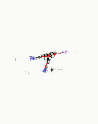 CCCCCCCC/C=C/CCCCCCCC(=O)OCC(COC(=O)CCCCCCC/C=C/CCCCCCCC)OC(=O)CCCCCCC/C=C/CCCCCCCC.CCO